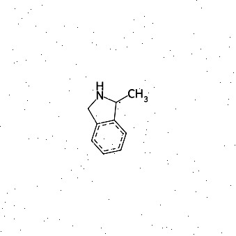 C[C]1NCc2ccccc21